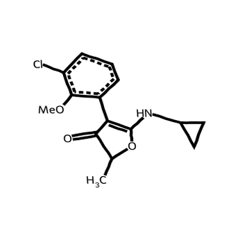 COc1c(Cl)cccc1C1=C(NC2CC2)OC(C)C1=O